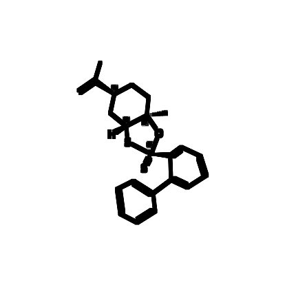 C=C(C)[C@H]1CC[C@@]2(C)O[P@@](=S)(c3ccccc3-c3ccccc3)S[C@@H]2C1